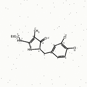 CCOC(=O)Nc1[nH]n(Cc2ccc(Cl)c(Cl)c2)c(=O)c1C